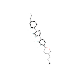 C=CCCC1CCC(c2ccc(-c3ccc(-c4ccc(CCC)cc4F)c(F)c3F)c(F)c2F)OC1